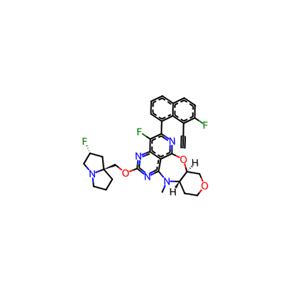 C#Cc1c(F)ccc2cccc(-c3nc4c5c(nc(OC[C@@]67CCCN6C[C@H](F)C7)nc5c3F)N(C)[C@H]3CCOC[C@@H]3O4)c12